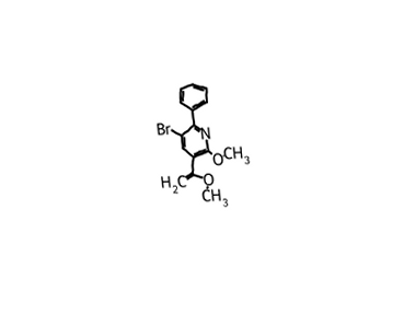 C=C(OC)c1cc(Br)c(-c2ccccc2)nc1OC